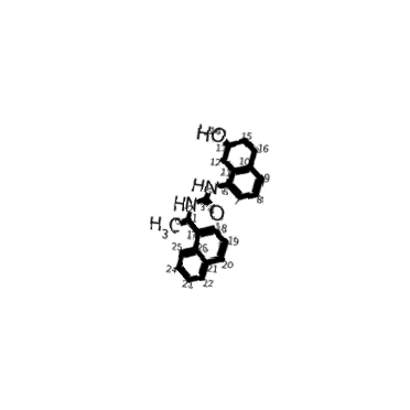 CC(NC(=O)Nc1cccc2c1CC(O)CC2)c1cccc2ccccc12